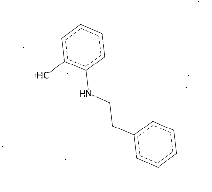 [CH]c1ccccc1NCCc1ccccc1